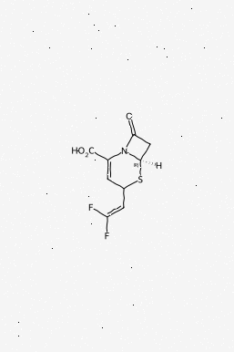 O=C(O)C1=CC(C=C(F)F)S[C@@H]2CC(=O)N12